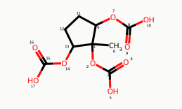 CC1(OC(=O)O)C(OC(=O)O)CCC1OC(=O)O